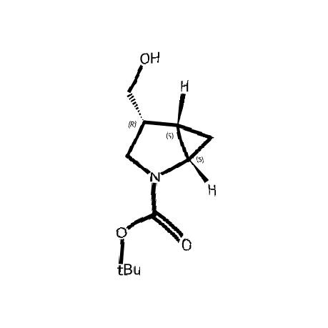 CC(C)(C)OC(=O)N1C[C@H](CO)[C@@H]2C[C@@H]21